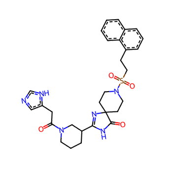 O=C(Cc1cnc[nH]1)N1CCCC(C2=NC3(CCN(S(=O)(=O)CCc4cccc5ccccc45)CC3)C(=O)N2)C1